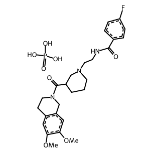 COc1cc2c(cc1OC)CN(C(=O)C1CCCN(CCNC(=O)c3ccc(F)cc3)C1)CC2.O=P(O)(O)O